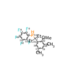 CCC(CC)(Pc1c(F)c(F)c(F)c(F)c1F)c1cc(C)cc(C)c1OC